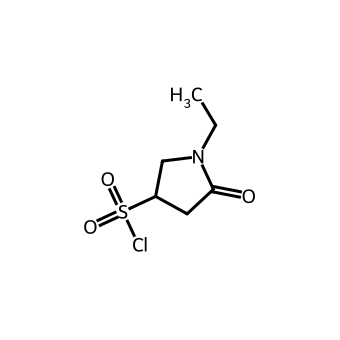 CCN1CC(S(=O)(=O)Cl)CC1=O